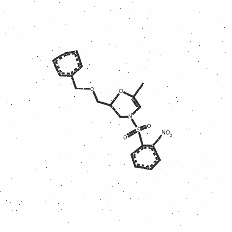 CC1=CN(S(=O)(=O)c2ccccc2[N+](=O)[O-])CC(COCc2ccccc2)O1